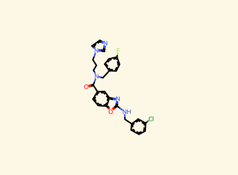 O=C(c1ccc2oc(NCc3cccc(Cl)c3)nc2c1)N(CCCn1ccnc1)Cc1ccc(F)cc1